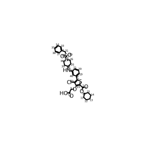 O=C(O)COc1c(C(=O)OC2CCCCC2)sc(-c2cccc(NC3CCN(S(=O)(=O)Cc4ccccc4)CC3)c2)c1Cl